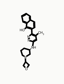 Cc1cc(N[C@H]2CCCN(C3COC3)C2)nnc1-c1ccc2ccccc2c1O